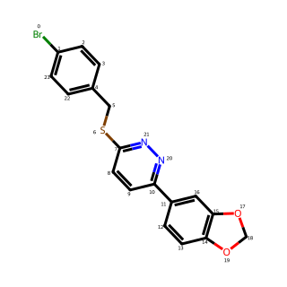 Brc1ccc(CSc2ccc(-c3ccc4c(c3)OCO4)nn2)cc1